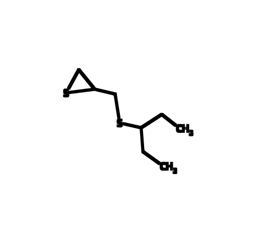 CCC(CC)SCC1CS1